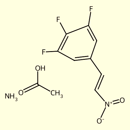 CC(=O)O.N.O=[N+]([O-])/C=C/c1cc(F)c(F)c(F)c1